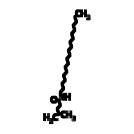 C=C(C)CCC(=O)NCCCCCCCCCCCCCCCCCCCC